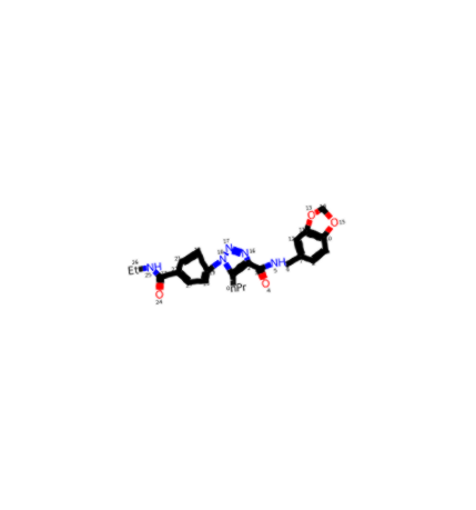 CCCc1c(C(=O)NCc2ccc3c(c2)OCO3)nnn1-c1ccc(C(=O)NCC)cc1